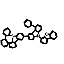 c1ccc(-c2ccccc2-n2c3ccccc3c3cc(-c4ccc5c(c4)c4c(-c6ccccc6)cccc4n5-c4cccc5c4oc4ccccc45)ccc32)cc1